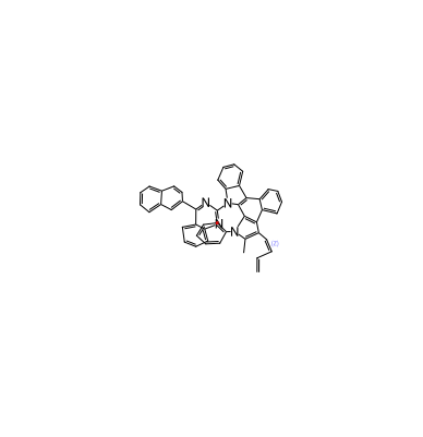 C=C/C=C\c1c(C)n(-c2ccccc2)c2c1c1ccccc1c1c3ccccc3n(-c3nc(-c4ccc5ccccc5c4)c4ccccc4n3)c12